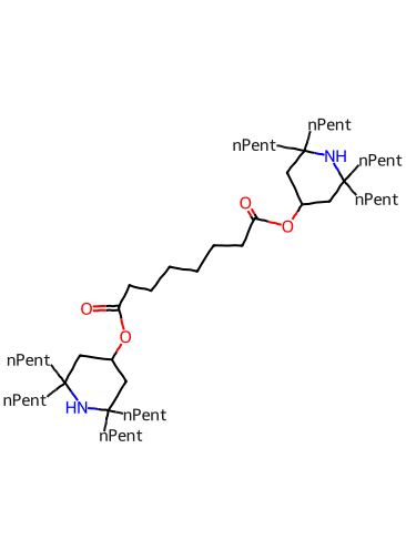 CCCCCC1(CCCCC)CC(OC(=O)CCCCCCC(=O)OC2CC(CCCCC)(CCCCC)NC(CCCCC)(CCCCC)C2)CC(CCCCC)(CCCCC)N1